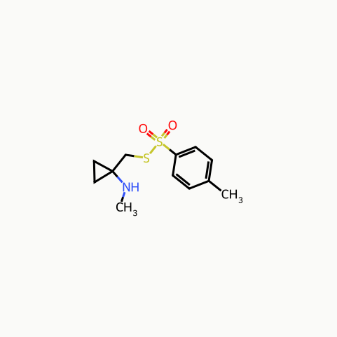 CNC1(CSS(=O)(=O)c2ccc(C)cc2)CC1